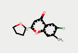 Cc1cc2oc([C@@H]3CCCO3)cc(=O)c2cc1Cl